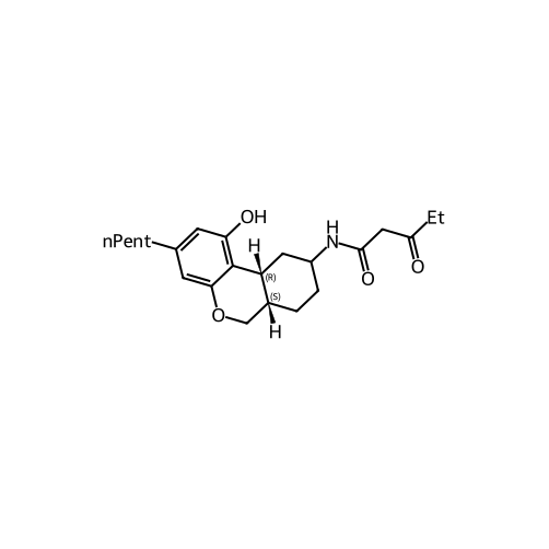 CCCCCc1cc(O)c2c(c1)OC[C@H]1CCC(NC(=O)CC(=O)CC)C[C@@H]21